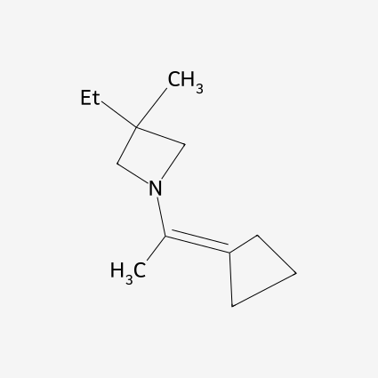 CCC1(C)CN(C(C)=C2CCC2)C1